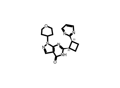 O=c1[nH]c([C@@H]2CC[C@@H]2c2ncccn2)nc2c1cnn2C1CCOCC1